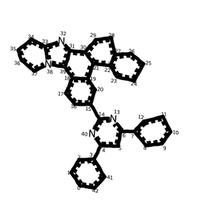 c1ccc(-c2cc(-c3ccccc3)nc(-c3ccc4c(c3)c3c5ccccc5ccc3c3nc5ccccn5c43)n2)cc1